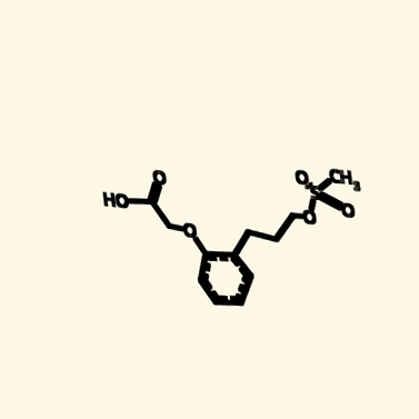 CS(=O)(=O)OCCCc1ccccc1OCC(=O)O